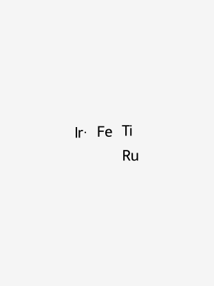 [Fe].[Ir].[Ru].[Ti]